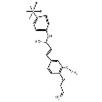 C=CCOc1ccc(/C=C/C(O)Nc2ccc(S(F)(F)(F)(F)F)cc2)cc1OC